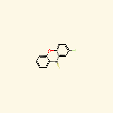 Fc1ccc2oc3ccccc3c(=S)c2c1